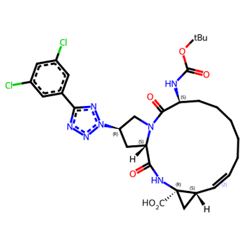 CC(C)(C)OC(=O)N[C@H]1CCCCC/C=C\[C@@H]2C[C@@]2(C(=O)O)NC(=O)[C@@H]2C[C@@H](n3nnc(-c4cc(Cl)cc(Cl)c4)n3)CN2C1=O